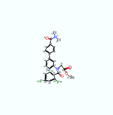 CCN(CC)C(=O)c1ccc(-c2cccc(N(CC(=O)OC(C)(C)C)C(=O)c3c(F)cc(F)cc3F)c2)cc1